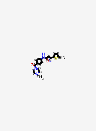 CN1CCN(C(=O)c2ccc(Nc3cc(-c4ccc(C#N)s4)no3)cc2)CC1